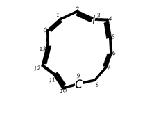 C1=C\C=I\C=C\C=C/CC/C=C/C=C/1